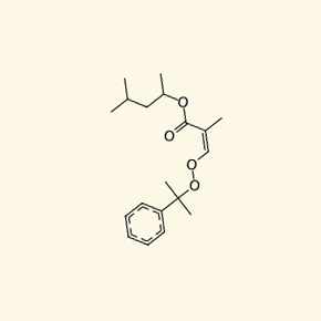 CC(=COOC(C)(C)c1ccccc1)C(=O)OC(C)CC(C)C